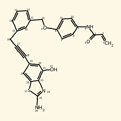 C=CC(=O)Nc1ccc(OCc2cccc(CC#Cc3cc(O)c4nc(N)sc4c3)c2)cc1